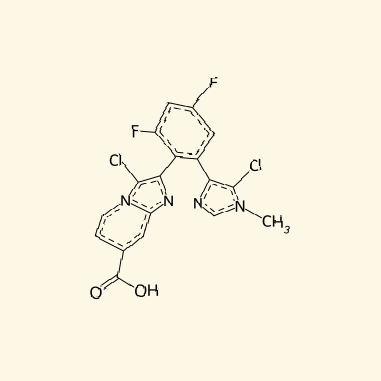 Cn1cnc(-c2cc(F)cc(F)c2-c2nc3cc(C(=O)O)ccn3c2Cl)c1Cl